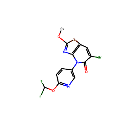 CCOc1nc2c(cc(Br)c(=O)n2-c2ccc(OC(F)F)nc2)s1